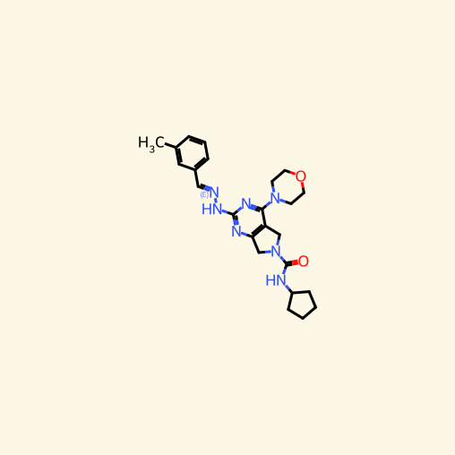 Cc1cccc(/C=N/Nc2nc3c(c(N4CCOCC4)n2)CN(C(=O)NC2CCCC2)C3)c1